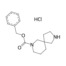 Cl.O=C(OCc1ccccc1)N1CCCC2(CCNC2)C1